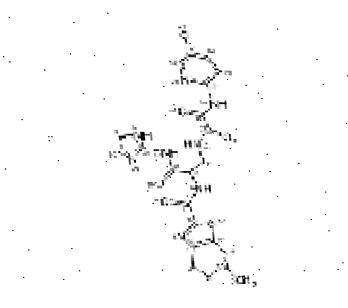 CN1CCc2nc(C(=O)NC(CNC(=O)C(=O)Nc3ccc(Cl)cn3)C(=O)Nc3ncc[nH]3)sc2C1